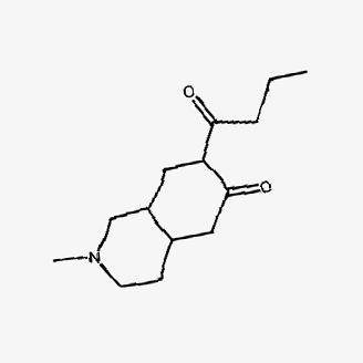 CCCC(=O)C1CC2CN(C)CCC2CC1=O